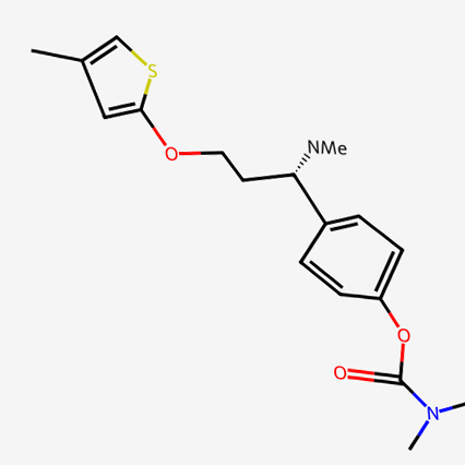 CN[C@@H](CCOc1cc(C)cs1)c1ccc(OC(=O)N(C)C)cc1